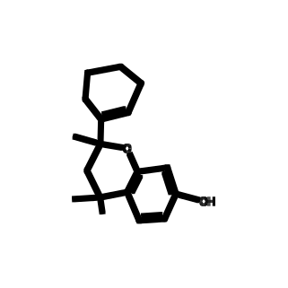 CC1(C2=CCCCC2)CC(C)(C)c2ccc(O)cc2O1